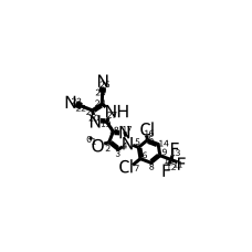 COc1cn(-c2c(Cl)cc(C(F)(F)F)cc2Cl)nc1-c1nc(C#N)c(C#N)[nH]1